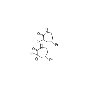 CC(C)C1CCNC(=O)C(Cl)(Cl)C1.CC(C)C1CCNC(=O)C(Cl)C1